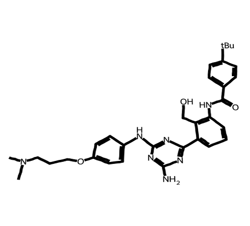 CN(C)CCCOc1ccc(Nc2nc(N)nc(-c3cccc(NC(=O)c4ccc(C(C)(C)C)cc4)c3CO)n2)cc1